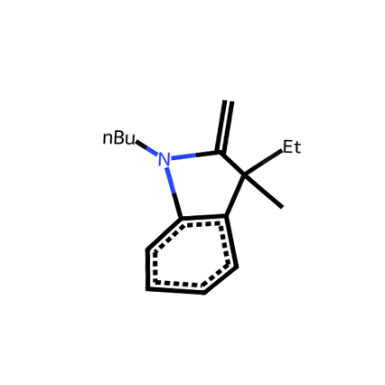 C=C1N(CCCC)c2ccccc2C1(C)CC